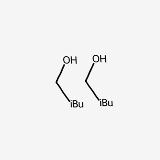 CCC(C)CO.CCC(C)CO